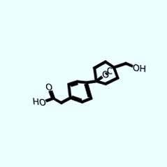 O=C(O)Cc1ccc(C23CCC(CO)(CC2)CO3)cc1